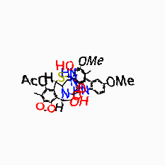 COc1ccc2[nH]c3c(c2c1)CCN[C@]31CS[C@@H]2c3c(OC(C)=O)c(C)c4c(c3[C@H](COC1=O)N1C2C2c3c(cc(C)c(OC)c3O)CC1(O)CN2C)OCO4